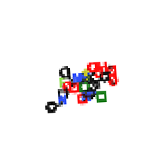 COc1ccc([C@H](Cc2c(Cl)c[n+]([O-])cc2Cl)c2cc(CNC(C(=O)OC3CCN(Cc4ccccc4)CC3)c3ccccc3F)sc2C(=O)O)cc1OC